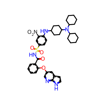 O=C(NS(=O)(=O)c1ccc(NC2CCC(N(C3CCCCC3)C3CCCCC3)CC2)c([N+](=O)[O-])c1)c1ccccc1Oc1cnc2[nH]ccc2c1